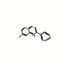 [CH2]c1ccc2ccc(-c3ccccc3)nc2c1